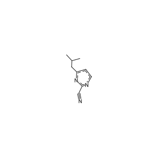 CC(C)Cc1ccnc(C#N)n1